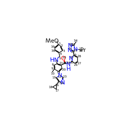 COc1ccc(CNc2cc(C)c(-n3cnc(C4CC4)c3)cc2C(=O)Nc2cccc(-c3nnc(C)n3C(C)C)n2)cc1